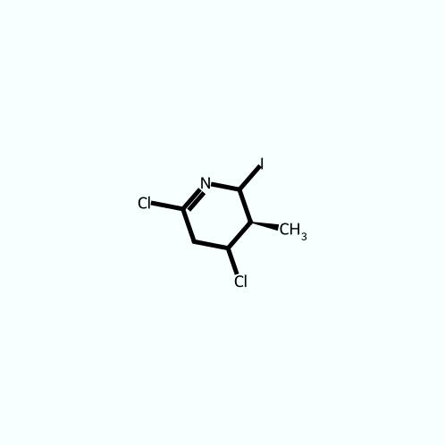 C[C@H]1C(Cl)CC(Cl)=NC1I